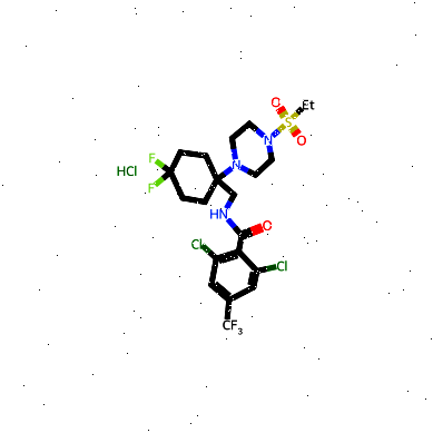 CCS(=O)(=O)N1CCN(C2(CNC(=O)c3c(Cl)cc(C(F)(F)F)cc3Cl)CCC(F)(F)CC2)CC1.Cl